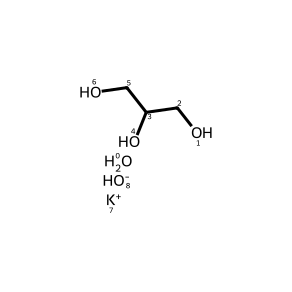 O.OCC(O)CO.[K+].[OH-]